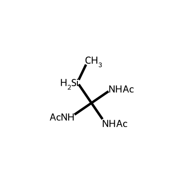 C[SiH2]C(NC(C)=O)(NC(C)=O)NC(C)=O